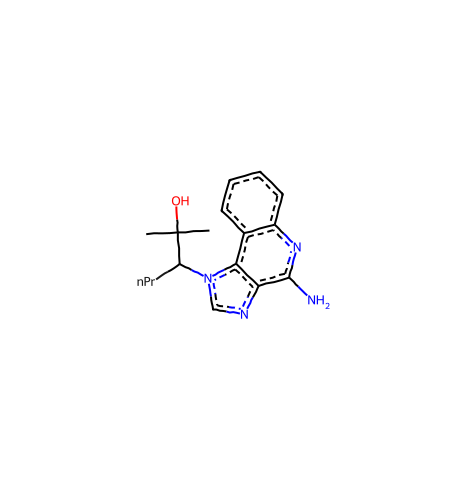 CCCC(n1cnc2c(N)nc3ccccc3c21)C(C)(C)O